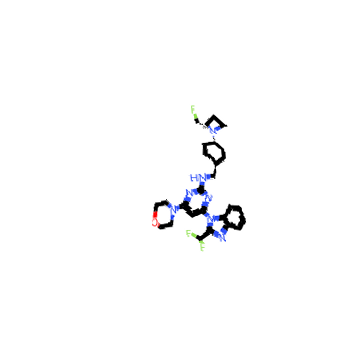 FC[C@@H]1CCN1[C@H]1CC[C@H](CNc2nc(N3CCOCC3)cc(-n3c(C(F)F)nc4ccccc43)n2)CC1